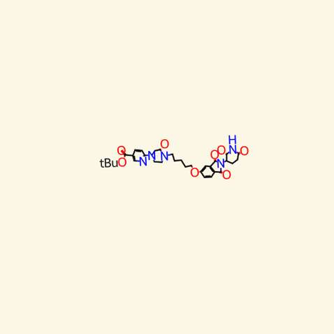 CC(C)(C)OC(=O)c1ccc(N2CCN(CCCCCOc3ccc4c(c3)C(=O)N(C3CCC(=O)NC3=O)C4=O)C(=O)C2)nc1